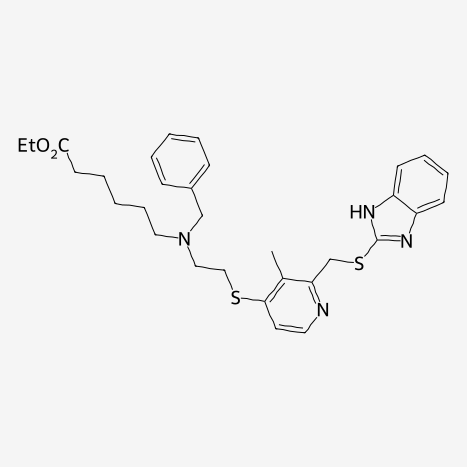 CCOC(=O)CCCCCN(CCSc1ccnc(CSc2nc3ccccc3[nH]2)c1C)Cc1ccccc1